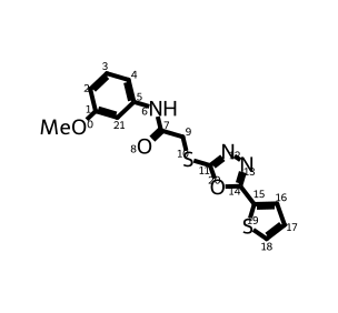 COc1cccc(NC(=O)CSc2nnc(-c3cccs3)o2)c1